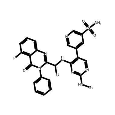 CCNc1ncc(-c2cncc(S(N)(=O)=O)c2)c(NC(CC)c2nc3cccc(F)c3c(=O)n2-c2ccccc2)n1